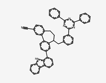 N#Cc1ccc2c(c1)-c1ccc(-c3cccc4c3[nH]c3ccccc34)cc1C(Cc1cccc(-c3nc(-c4ccccc4)nc(-c4ccccc4)n3)c1)CC2